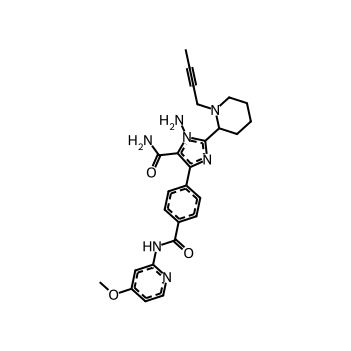 CC#CCN1CCCCC1c1nc(-c2ccc(C(=O)Nc3cc(OC)ccn3)cc2)c(C(N)=O)n1N